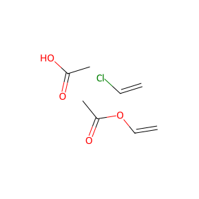 C=CCl.C=COC(C)=O.CC(=O)O